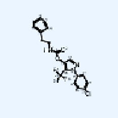 O=C(NCCc1ccccc1)Oc1cnn(-c2ccc(Cl)cc2)c1C(F)(F)F